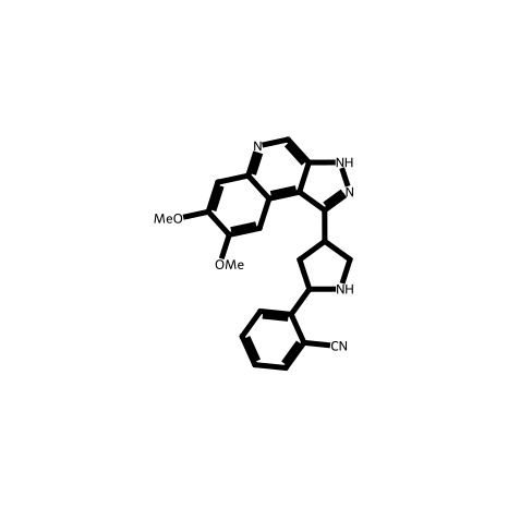 COc1cc2ncc3[nH]nc(C4CNC(c5ccccc5C#N)C4)c3c2cc1OC